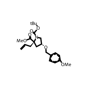 C=CC[C@]1(C(=O)OC)C[C@@H](OCc2ccc(OC)cc2)CN1C(=O)OC(C)(C)C